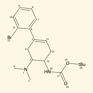 CN(C)C1CC(c2ccccc2Br)=CCC1NC(=O)OC(C)(C)C